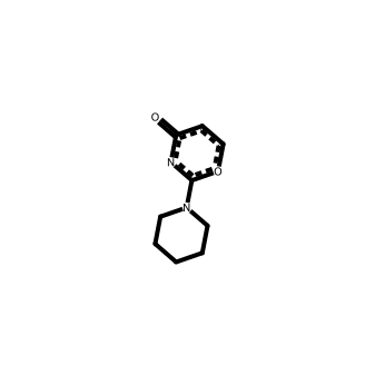 O=c1ccoc(N2CCCCC2)n1